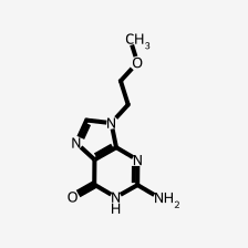 COCCn1cnc2c(=O)[nH]c(N)nc21